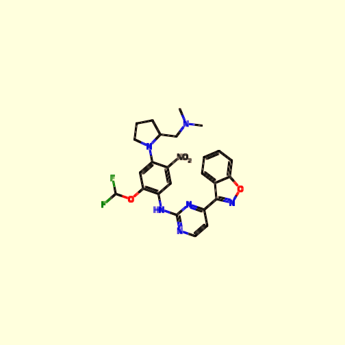 CN(C)CC1CCCN1c1cc(OC(F)F)c(Nc2nccc(-c3noc4ccccc34)n2)cc1[N+](=O)[O-]